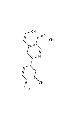 C=C/C=C\C(=C/C=C)c1cc(/C=C\C)c(/C=C\C)cn1